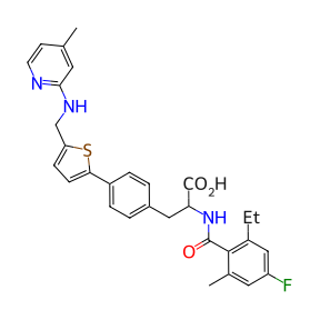 CCc1cc(F)cc(C)c1C(=O)NC(Cc1ccc(-c2ccc(CNc3cc(C)ccn3)s2)cc1)C(=O)O